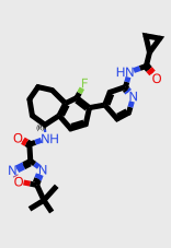 CC(C)(C)c1nc(C(=O)N[C@@H]2CCCCc3c2ccc(-c2ccnc(NC(=O)C4CC4)c2)c3F)no1